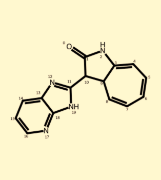 O=C1NC2=CC=CC=CC2C1c1nc2cccnc2[nH]1